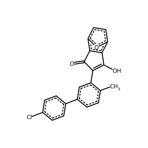 Cc1ccc(-c2ccc(Cl)cc2)cc1C1=C(O)c2c(c3ccc2o3)C1=O